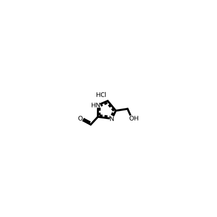 Cl.O=Cc1nc(CO)c[nH]1